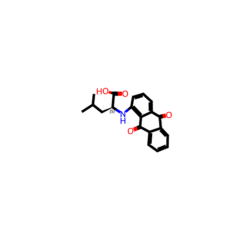 CC(C)C[C@H](Nc1cccc2c1C(=O)c1ccccc1C2=O)C(=O)O